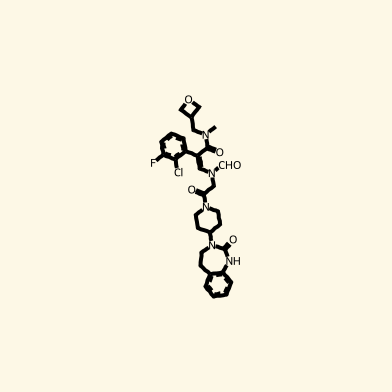 CN(CC1COC1)C(=O)/C(=C\N(C=O)CC(=O)N1CCC(N2CCc3ccccc3NC2=O)CC1)c1cccc(F)c1Cl